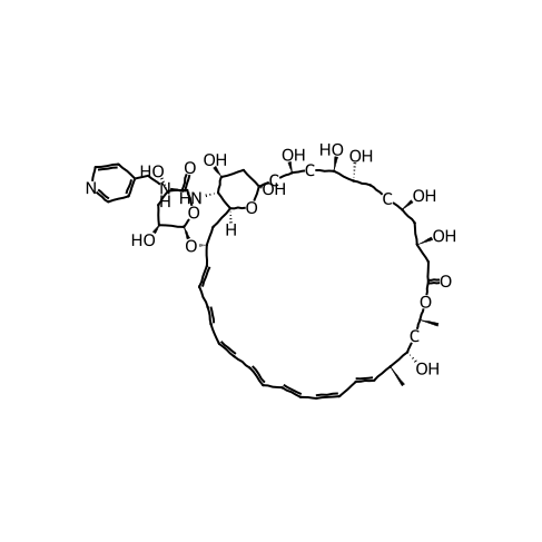 C[C@H]1C[C@H](O)[C@@H](C)/C=C/C=C/C=C/C=C/C=C/C=C/C=C/[C@H](O[C@@H]2OC[C@@H](O)C[C@@H]2O)C[C@@H]2O[C@](O)(C[C@@H](O)C[C@@H](O)[C@H](O)CC[C@@H](O)C[C@@H](O)CC(=O)O1)C[C@H](O)[C@H]2NC(=O)NCc1ccncc1